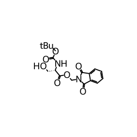 CC(C)(C)OC(=O)N[C@@H](CO)C(=O)OCN1C(=O)c2ccccc2C1=O